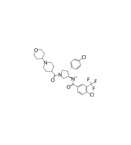 CN(C(=O)c1ccc(Cl)c(C(F)(F)F)c1)[C@H]1CN(C(=O)C2CCN(C3CCOCC3)CC2)C[C@@H]1c1ccc(Cl)cc1